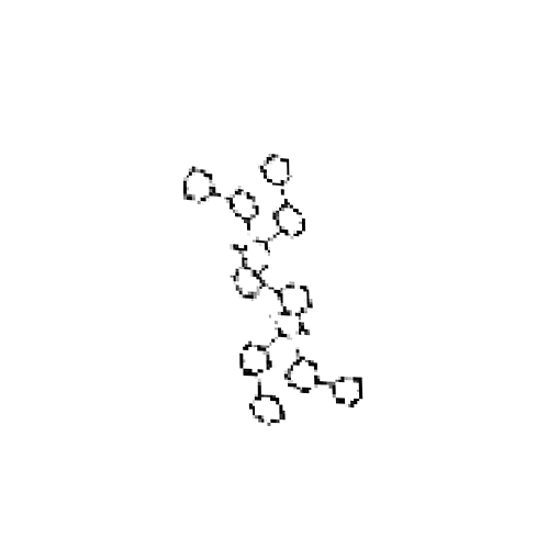 O=c1c2cccc(-c3cccc4c(=O)n(-c5cccc(-c6ccccc6)c5)c(-c5cccc(-c6ccccc6)c5)nc34)c2nc(-c2cccc(-c3ccccc3)c2)n1-c1cccc(-c2ccccc2)c1